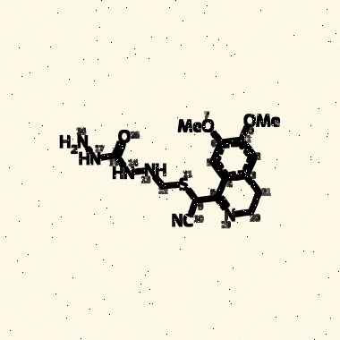 COc1cc2c(cc1OC)C(C(C#N)SCNNC(=O)NN)=NCC2